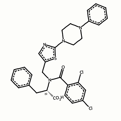 O=C(O)[C@H](Cc1ccccc1)N(Cc1cnc(N2CCN(c3ccccc3)CC2)s1)C(=O)c1ccc(Cl)cc1Cl